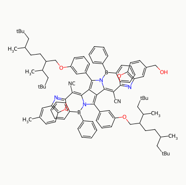 [C-]#[N+]/C(c1nc2cc(C)ccc2o1)=c1\c2c(-c3cccc(OCC(CCC(C)CC(C)(C)C)C(C)CC(C)(C)C)c3)n(B(c3ccccc3)c3ccccc3)/c(=C(/C#N)c3nc4cc(CO)ccc4o3)c2c(-c2cccc(OCC(CCC(C)CC(C)(C)C)C(C)CC(C)(C)C)c2)n1B(c1ccccc1)c1ccccc1